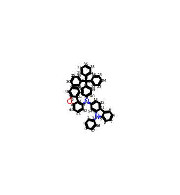 c1ccc(-n2c3ccccc3c3ccc(N(c4ccc(C(c5ccccc5)(c5ccccc5)c5ccccc5)cc4)c4cccc5oc6ccccc6c45)cc32)cc1